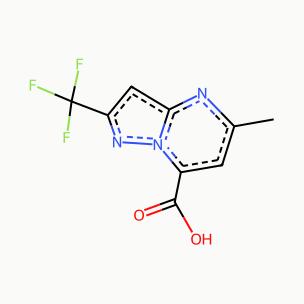 Cc1cc(C(=O)O)n2nc(C(F)(F)F)cc2n1